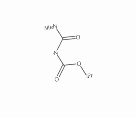 CNC(=O)[N]C(=O)OC(C)C